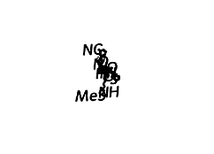 CSNCCCCCC(=O)N1CCN(C2=NC[C@H](c3cccc(C#N)c3)O2)C[C@H]1C(=O)NCc1cccs1